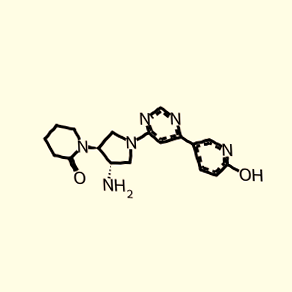 N[C@H]1CN(c2cc(-c3ccc(O)nc3)ncn2)C[C@@H]1N1CCCCC1=O